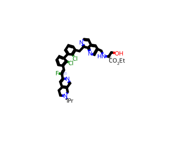 CCOC(=O)[C@@H](CO)NCc1cnc2c(Cc3cccc(-c4cccc(/C=C(\F)c5cc6c(cn5)CN(C(C)C)CC6)c4Cl)c3Cl)nccc2c1